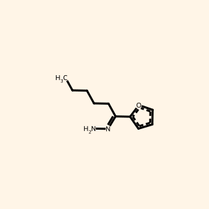 CCCCCC(=NN)c1ccco1